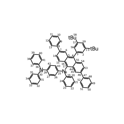 CC(C)(C)c1cc(-c2c3cc(-c4ccccc4)ccc3c(N(c3ccccc3)c3ccc(N(c4ccccc4)c4ccccc4)cc3)c3cc(-c4ccccc4)ccc23)cc(C(C)(C)C)c1